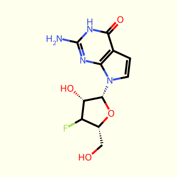 Nc1nc2c(ccn2[C@@H]2O[C@H](CO)C(F)[C@@H]2O)c(=O)[nH]1